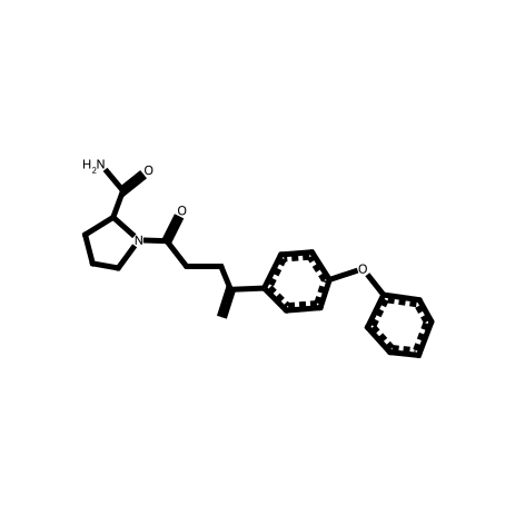 C=C(CCC(=O)N1CCCC1C(N)=O)c1ccc(Oc2ccccc2)cc1